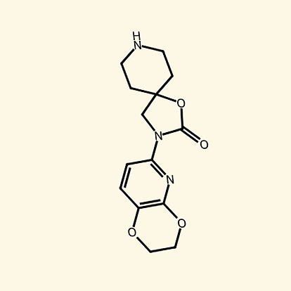 O=C1OC2(CCNCC2)CN1c1ccc2c(n1)OCCO2